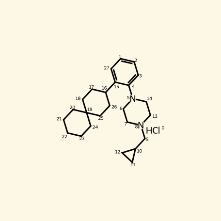 Cl.c1ccc(N2CCN(CC3CC3)CC2)c(C2CCC3(CCCCC3)CC2)c1